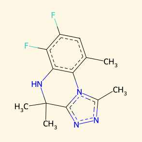 Cc1cc(F)c(F)c2c1-n1c(C)nnc1C(C)(C)N2